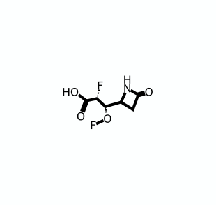 O=C1CC([C@H](OF)[C@@H](F)C(=O)O)N1